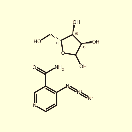 OC[C@H]1OC(O)[C@H](O)[C@@H]1O.[N-]=[N+]=Nc1ccncc1C(N)=O